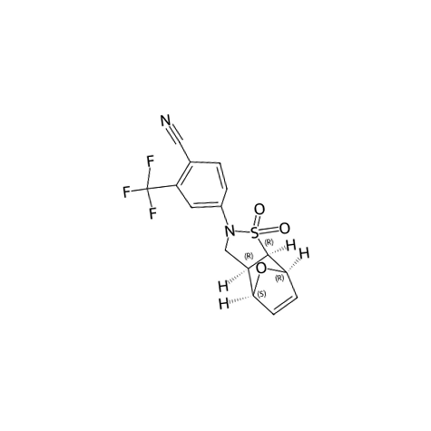 N#Cc1ccc(N2C[C@H]3[C@H]([C@H]4C=C[C@@H]3O4)S2(=O)=O)cc1C(F)(F)F